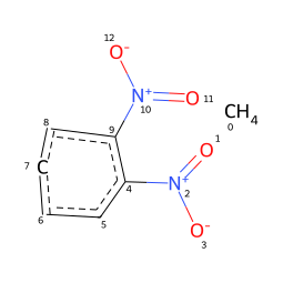 C.O=[N+]([O-])c1ccccc1[N+](=O)[O-]